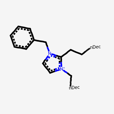 CCCCCCCCCCCCc1n(Cc2ccccc2)cc[n+]1CCCCCCCCCCC